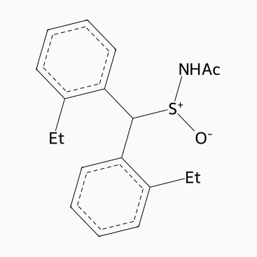 CCc1ccccc1C(c1ccccc1CC)[S+]([O-])NC(C)=O